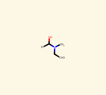 CCC(O)N(C)CC=O